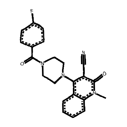 Cn1c(=O)c(C#N)c(N2CCN(C(=O)c3ccc(F)cc3)CC2)c2ccccc21